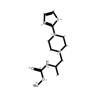 CC(CN1CCN(c2nccs2)CC1)NC(=O)OC(C)(C)C